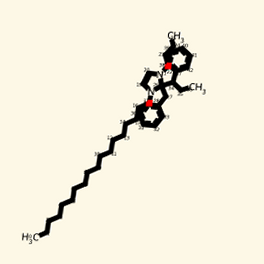 CCCCCCCCCCCCCCCCCCN1C=CN(CCCC)C1(Cc1ccccc1)C(CC)c1ccccc1